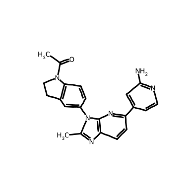 CC(=O)N1CCc2cc(-n3c(C)nc4ccc(-c5ccnc(N)c5)nc43)ccc21